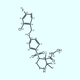 CC1(C)NCCC(S(=O)(=O)c2ccc(OCc3ccc(F)cc3Cl)cc2)C1(C)C(=O)NO